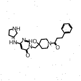 O=C(CCc1ccccc1)N1CCC(O)(Cn2cnc(N[C@@H]3CCNC3)cc2=O)CC1